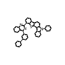 c1ccc(-c2cccc(-c3nc(-c4cccc5c4sc4c5ccc5c4c4ccccc4n5-c4ccccc4)nc4ccccc34)c2)cc1